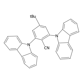 CC(C)(C)c1cc(-n2c3ccccc3c3ccccc32)c(C#N)c(-n2c3ccccc3c3ccccc32)c1